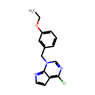 CCOc1cccc(Cn2cnc(Cl)c3ccnc2-3)c1